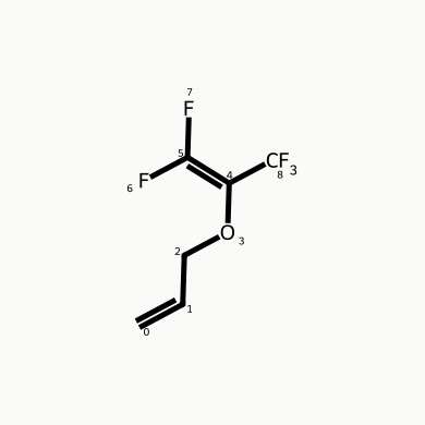 C=CCOC(=C(F)F)C(F)(F)F